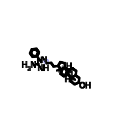 C[C@]12CCC(O)CC1CC[C@@H]1[C@H]2CC[C@]2(C)C(CC/C=N/N(C(=N)N)c3ccccc3)CC[C@@]12O